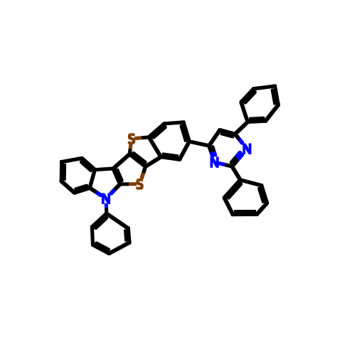 c1ccc(-c2cc(-c3ccc4sc5c(sc6c5c5ccccc5n6-c5ccccc5)c4c3)nc(-c3ccccc3)n2)cc1